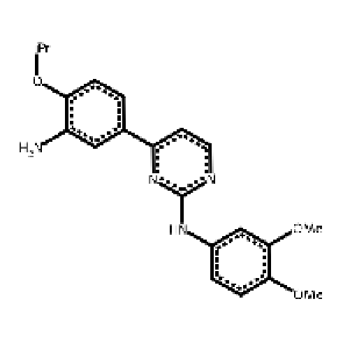 COc1ccc(Nc2nccc(-c3ccc(OC(C)C)c(N)c3)n2)cc1OC